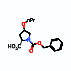 CCCO[C@@H]1C[C@@H](C(=O)O)N(C(=O)OCc2ccccc2)C1